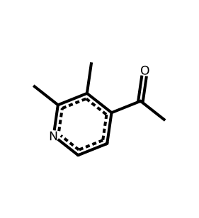 CC(=O)c1ccnc(C)c1C